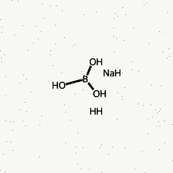 OB(O)O.[HH].[NaH]